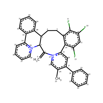 C=C1C2C(CCc3c(F)c(F)cc(F)c3-c3cc(-c4ccccc4)c(C)c[n+]31)c1ccccc1-c1cccc[n+]12